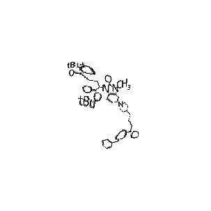 Cn1c(=O)n(C(CCC(=O)OC(C)(C)C)C(=O)OC(C)(C)C)c2ccc(N3CCC(CCCC(=O)OCc4ccccc4)CC3)cc21